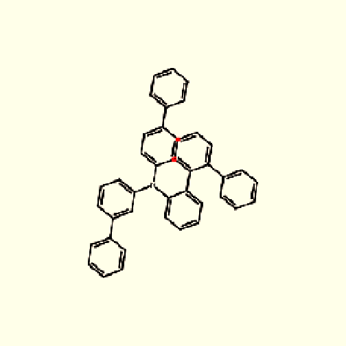 c1ccc(-c2ccc(N(c3cccc(-c4ccccc4)c3)c3ccccc3-c3ccccc3-c3ccccc3)cc2)cc1